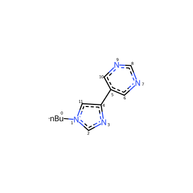 CCC[CH]n1cnc(-c2cncnc2)c1